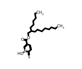 CCCCCCCCC(CCCCCC)COC(=O)c1ccc(=S)n(O)c1